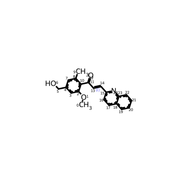 COc1cc(CO)cc(C)c1C(=O)/C=C/c1ccc2ccccc2n1